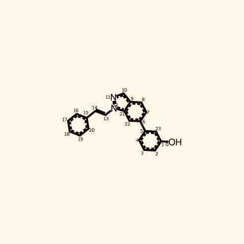 Oc1cccc(-c2ccc3cnn(C=Cc4ccccc4)c3c2)c1